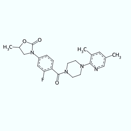 Cc1cnc(N2CCN(C(=O)c3ccc(N4CC(C)OC4=O)cc3F)CC2)c(C)c1